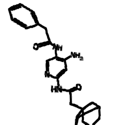 Nc1cc(NC(=O)CC23CC4CC(CC(C4)C2)C3)ncc1NC(=O)Cc1ccccc1